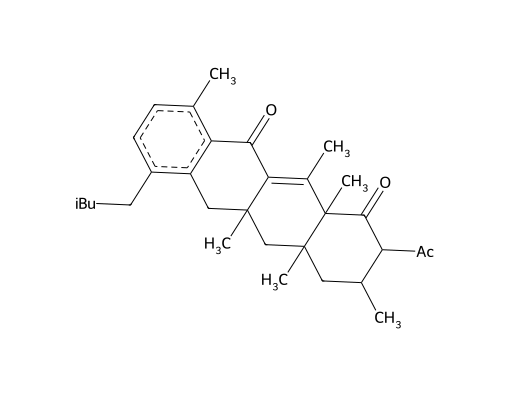 CCC(C)Cc1ccc(C)c2c1CC1(C)CC3(C)CC(C)C(C(C)=O)C(=O)C3(C)C(C)=C1C2=O